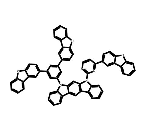 c1ccc2c(c1)oc1ccc(-c3cc(-c4ccc5oc6ccccc6c5c4)cc(-n4c5ccccc5c5cc6c7ccccc7n(-c7nccc(-c8ccc9oc%10ccccc%10c9c8)n7)c6cc54)c3)cc12